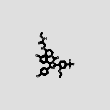 CCOc1cc(C(F)(F)F)ccc1C1=NC(c2ccc(Cl)cc2)C(c2ccc(Cl)cc2)N1C(=O)N1CCC(NCC(=O)NOC)CC1